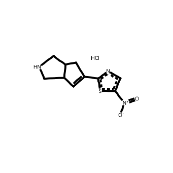 Cl.O=[N+]([O-])c1cnc(C2=CC3CNCC3C2)s1